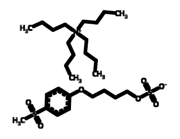 CCCC[N+](CCCC)(CCCC)CCCC.CS(=O)(=O)c1ccc(OCCCCOS(=O)(=O)[O-])cc1